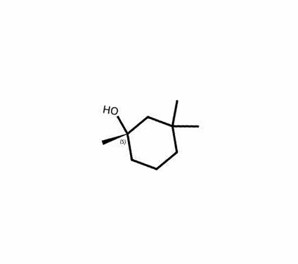 CC1(C)CCC[C@](C)(O)C1